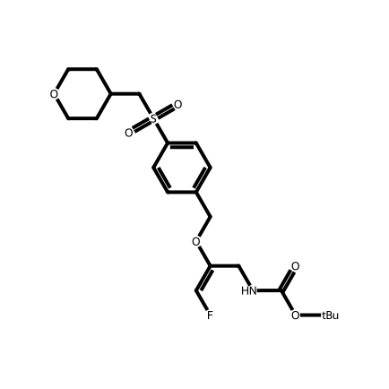 CC(C)(C)OC(=O)NC/C(=C\F)OCc1ccc(S(=O)(=O)CC2CCOCC2)cc1